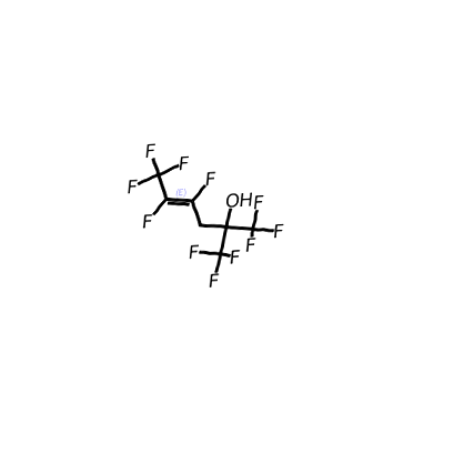 OC(C/C(F)=C(\F)C(F)(F)F)(C(F)(F)F)C(F)(F)F